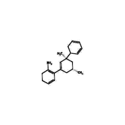 C[C@@H]1CC(C2=C(N)CCC=C2)=C[C@@](C)(C2C=CC=CC2)C1